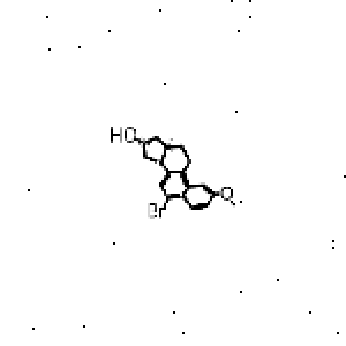 COc1ccc2c(Br)cc3c(c2c1)CC[C@]1(C)C[C@H](O)CC31